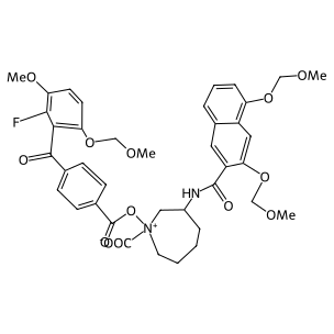 COCOc1cc2c(OCOC)cccc2cc1C(=O)NC1CCCC[N+](OC(=O)c2ccc(C(=O)c3c(OCOC)ccc(OC)c3F)cc2)(C(=O)[O-])C1